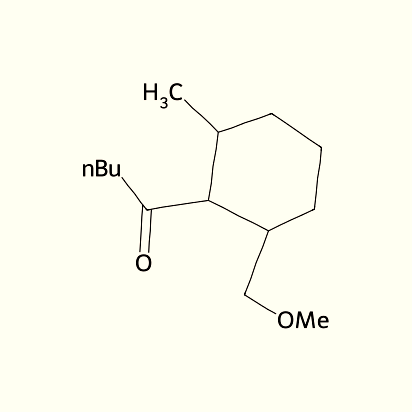 CCCCC(=O)C1C(C)CCCC1COC